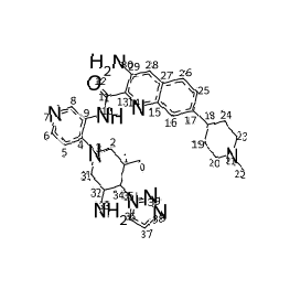 CC1CN(c2ccncc2NC(=O)c2nc3cc(C4CCN(C)CC4)ccc3cc2N)CC(N)C1n1ccnn1